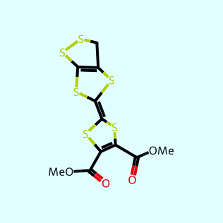 COC(=O)C1=C(C(=O)OC)SC(=C2SC3=C(SSC3)S2)S1